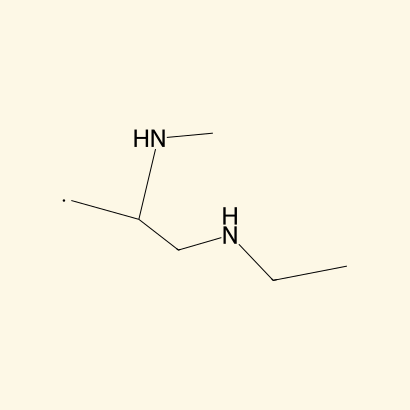 [CH2]C(CNCC)NC